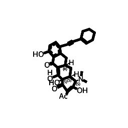 CC(=O)C1=C(O)[C@@H](N(C)C)[C@@H]2C[C@@H]3Cc4c(C#CC5=CCCCC5)ccc(O)c4C(=O)C3=C(O)[C@]2(O)C1=O